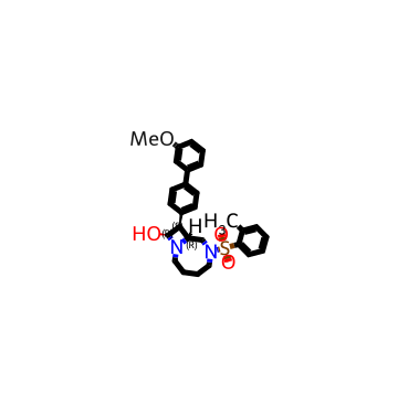 COc1cccc(-c2ccc([C@@H]3[C@@H](O)N4CCCCN(S(=O)(=O)c5ccccc5C)C[C@@H]34)cc2)c1